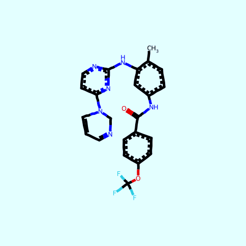 Cc1ccc(NC(=O)c2ccc(OC(F)(F)F)cc2)cc1Nc1nccc(N2C=CC=NC2)n1